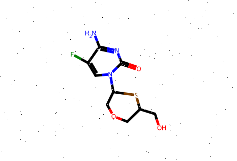 Nc1nc(=O)n(C2COCC(CO)S2)cc1F